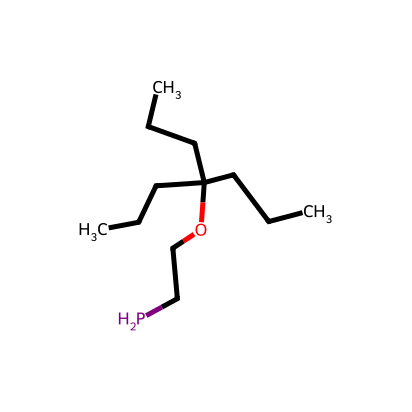 CCCC(CCC)(CCC)OCCP